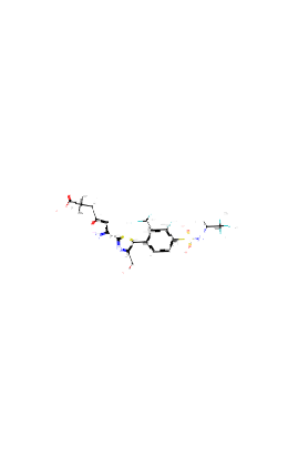 CC(NS(=O)(=O)c1ccc(-c2sc(-c3cc(CC(C)(C)C(=O)O)on3)nc2CO)c(C(F)F)c1F)C(F)(F)F